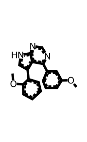 COc1cccc(-c2ncnc3[nH]cc(-c4ccccc4OC)c23)c1